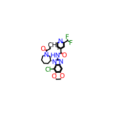 C=CC(=O)N1CCCC[C@@H](n2c(NC(=O)c3ccnc(C(F)F)c3)nc3cc4c(c(Cl)c32)OCCO4)C1